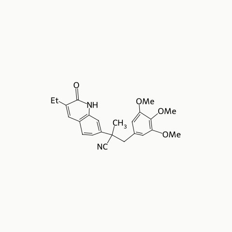 CCc1cc2ccc(C(C)(C#N)Cc3cc(OC)c(OC)c(OC)c3)cc2[nH]c1=O